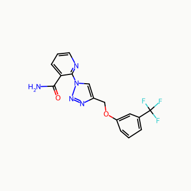 NC(=O)c1cccnc1-n1cc(COc2cccc(C(F)(F)F)c2)nn1